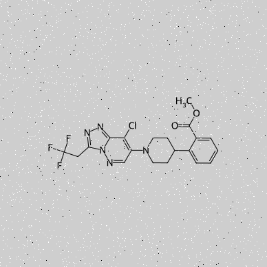 COC(=O)c1ccccc1C1CCN(c2cnn3c(CC(F)(F)F)nnc3c2Cl)CC1